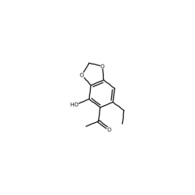 CCc1cc2c(c(O)c1C(C)=O)OCO2